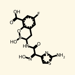 Nc1nc(C(=NO)C(=O)NC2Cc3cc(F)cc(C(=O)O)c3OB2O)cs1